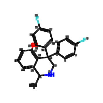 CCCCC1NCC(c2ccc(F)cc2)(c2ccc(F)cc2)c2c(O)cccc21